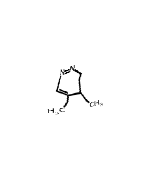 CC1=CN=NCC1C